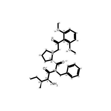 CC[C@H](C)[C@H](N)C(=O)N(Cc1ccccc1)C(=O)[C@@H]1CCCN1CC(=O)c1c(OC)cccc1OC